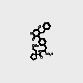 COCCC1(C(=O)N[C@@H](Cc2ccc(-c3c(Cc4ccccc4)c(Cl)c[nH]c3=O)cc2)C(=O)O)CCCC1